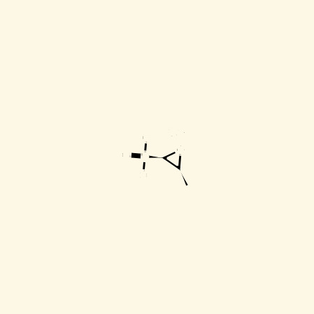 C[C@@H]1O[C@@H]1P(=O)([O-])[O-].[Ca+2]